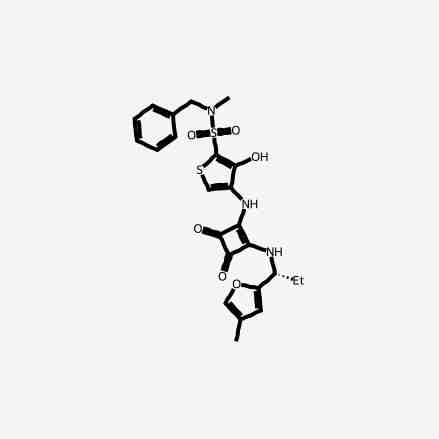 CC[C@@H](Nc1c(Nc2csc(S(=O)(=O)N(C)Cc3ccccc3)c2O)c(=O)c1=O)c1cc(C)co1